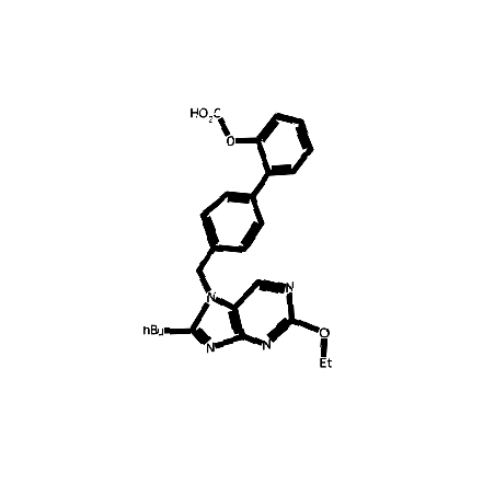 CCCCc1nc2nc(OCC)ncc2n1Cc1ccc(-c2ccccc2OC(=O)O)cc1